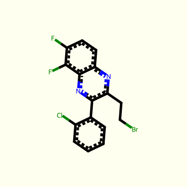 Fc1ccc2nc(CCBr)c(-c3ccccc3Cl)nc2c1F